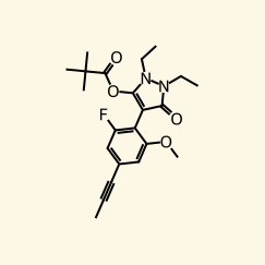 CC#Cc1cc(F)c(-c2c(OC(=O)C(C)(C)C)n(CC)n(CC)c2=O)c(OC)c1